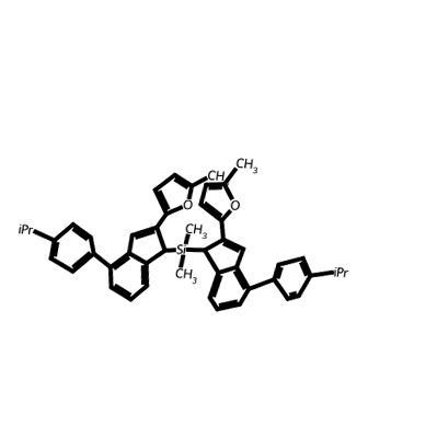 Cc1ccc(C2=Cc3c(-c4ccc(C(C)C)cc4)cccc3C2[Si](C)(C)C2C(c3ccc(C)o3)=Cc3c(-c4ccc(C(C)C)cc4)cccc32)o1